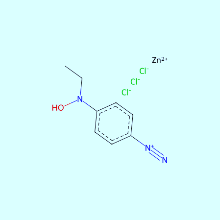 CCN(O)c1ccc([N+]#N)cc1.[Cl-].[Cl-].[Cl-].[Zn+2]